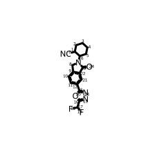 N#CC1CCCCC1N1Cc2ccc(-c3nnc(C(F)F)o3)cc2C1=O